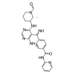 C[C@@H]1C(Nc2ncnc(N)c2C(=N)c2ccc(C(=O)Nc3ccccn3)cc2)CCCN1C=O